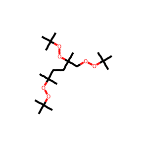 CC(C)(C)OOCC(C)(CCC(C)(C)OOC(C)(C)C)OOC(C)(C)C